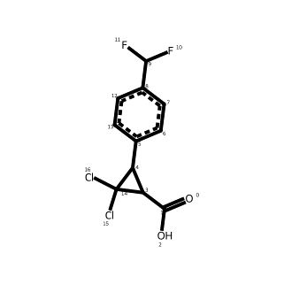 O=C(O)C1C(c2ccc(C(F)F)cc2)C1(Cl)Cl